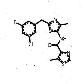 Cc1nc(Cc2cc(F)cc(Cl)c2)sc1NC(=O)c1ncsc1C